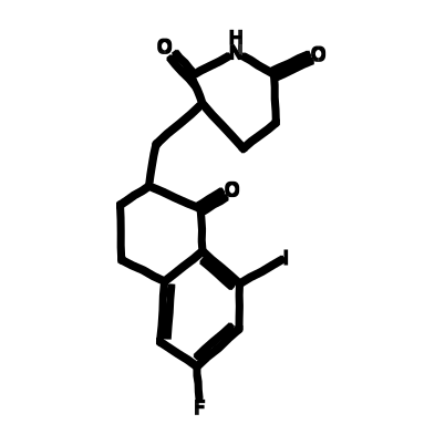 O=C1CCC(CC2CCc3cc(F)cc(I)c3C2=O)C(=O)N1